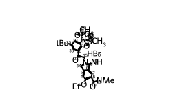 Br.CCOc1cc2c(cc1C(=O)NC)C(=N)N(CC(=O)c1cc(N(S(C)(=O)=O)S(C)(=O)=O)cc(C(C)(C)C)c1)C2